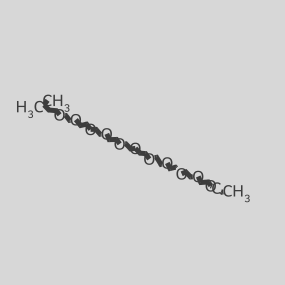 CCCOCCOCCOCCOCCOCCOCCOCCOCCOCCOCCOCCC(C)C